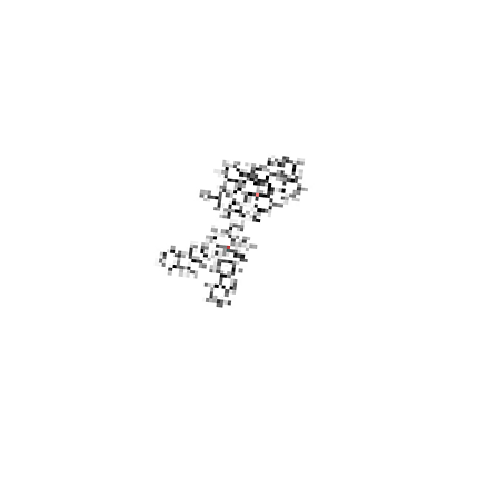 CC1(C)c2ccccc2-c2ccc(N(c3cc4c(cc3-c3ccccc3)sc3ccccc34)C3C=CC(c4ccc5c(c4)Sc4ccc(N(c6ccccc6)c6cc(-c7ccccc7)cc7oc8ccccc8c67)cc4C54c5ccccc5-c5cc(Cl)ccc54)=CC3)cc21